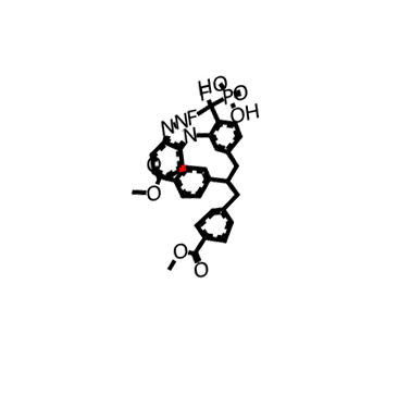 COC(=O)c1ccc(CC(Cc2ccc(C(F)(F)P(=O)(O)O)c(-n3nnc4ccccc43)c2)c2ccc(C(=O)OC)cc2)cc1